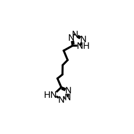 C(CCc1nnn[nH]1)CCc1nnn[nH]1